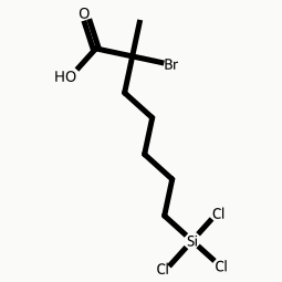 CC(Br)(CCCCC[Si](Cl)(Cl)Cl)C(=O)O